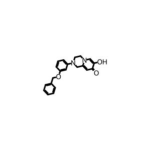 O=c1cc2n(cc1O)CCN(c1cccc(OCc3ccccc3)c1)C2